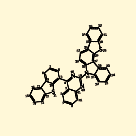 c1ccc2c(-c3cccc4c3sc3ccccc34)nc(-n3c4ccccc4c4c5sc6ccccc6c5ccc43)nc2c1